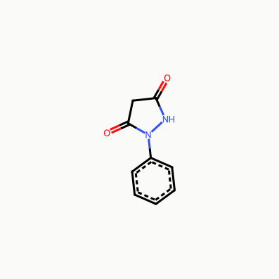 O=C1CC(=O)N(c2ccccc2)N1